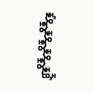 NCC(=O)NCC(=O)NCC(=O)NCC(=O)NCC(=O)NCC(=O)NCC(=O)O